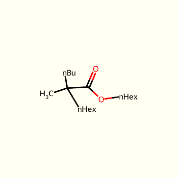 CCCCCCOC(=O)C(C)(CCCC)CCCCCC